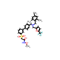 CONC(=O)CS(=O)(=O)c1cccc(-c2ccc(CN(Cc3ccc(C(F)(F)F)o3)Cc3c(C)cc(C)cc3C)cc2)c1